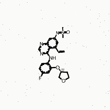 C=Cc1cc(N=S(C)(C)=O)cc2ncnc(Nc3ccc(F)cc3O[C@H]3CCOC3)c12